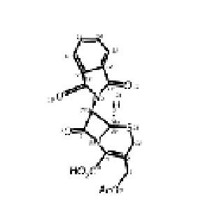 CC(=O)OCC1=C(C(=O)O)N2C(=O)[C@@H](N3C(=O)c4ccccc4C3=O)[C@H]2SC1